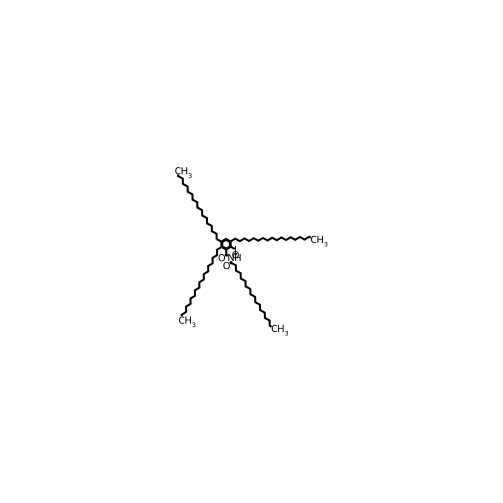 CCCCCCCCCCCCCCCCCCc1cc(CCCCCCCCCCCCCCCCCC)c(I=O)c(C(=O)NC(=O)CCCCCCCCCCCCCCCCC)c1CCCCCCCCCCCCCCCCCC